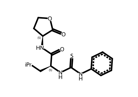 CC(C)C[C@H](NC(=S)Nc1ccccc1)C(=O)N[C@H]1CCOC1=O